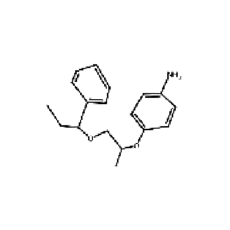 CCC(OCC(C)Oc1ccc(N)cc1)c1ccccc1